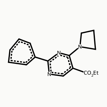 CCOC(=O)c1cnc(-c2ccccc2)nc1N1CCC1